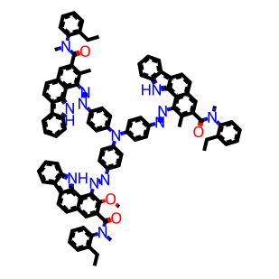 CCc1ccccc1N(C)C(=O)c1cc2ccc3c4ccccc4[nH]c3c2c(N=Nc2ccc(N(c3ccc(N=Nc4c(C)c(C(=O)N(C)c5ccccc5CC)cc5ccc6c7ccccc7[nH]c6c45)cc3)c3ccc(N=Nc4c(OC)c(C(=O)N(C)c5ccccc5CC)cc5ccc6c7ccccc7[nH]c6c45)cc3)cc2)c1C